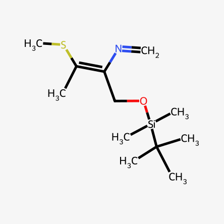 C=N/C(CO[Si](C)(C)C(C)(C)C)=C(/C)SC